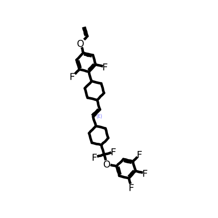 C=COc1cc(F)c(C2CCC(/C=C/C3CCC(C(F)(F)Oc4cc(F)c(F)c(F)c4)CC3)CC2)c(F)c1